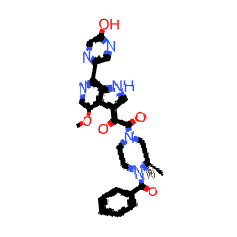 COc1cnc(-c2cnc(O)cn2)c2[nH]cc(C(=O)C(=O)N3CCN(C(=O)c4ccccc4)[C@H](C)C3)c12